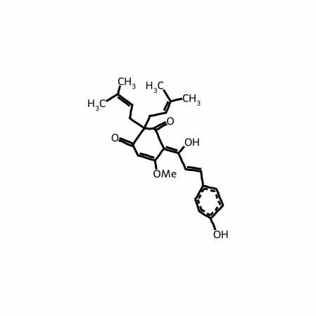 COC1=CC(=O)C(CC=C(C)C)(CC=C(C)C)C(=O)/C1=C(O)/C=C/c1ccc(O)cc1